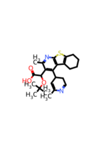 CC1=CC(c2c(C(OC(C)(C)C)C(=O)O)c(C)nc3sc4c(c23)CCCC4)CC=N1